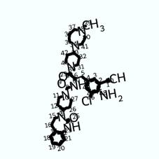 C#Cc1cc(C[C@@H](NC(=O)N2CCC(N3CCc4ccccc4NC3=O)CC2)C(=O)N2CCC(N3CCCN(C)CC3)CC2)cc(Cl)c1N